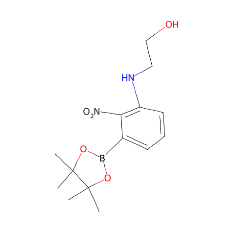 CC1(C)OB(c2cccc(NCCO)c2[N+](=O)[O-])OC1(C)C